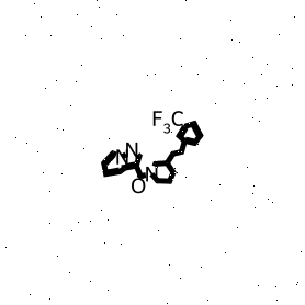 O=C(c1cnn2ccccc12)N1CCCC(CCc2cccc(C(F)(F)F)c2)C1